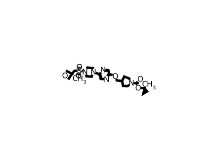 CC1(CS(=O)(=O)N2CCN(c3cnc(OCC4CCN(C(=O)OC5(C)CC5)CC4)cn3)CC2)COC1